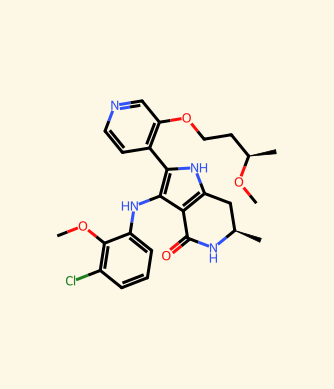 COc1c(Cl)cccc1Nc1c(-c2ccncc2OCC[C@@H](C)OC)[nH]c2c1C(=O)N[C@H](C)C2